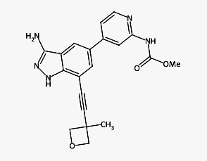 COC(=O)Nc1cc(-c2cc(C#CC3(C)COC3)c3[nH]nc(N)c3c2)ccn1